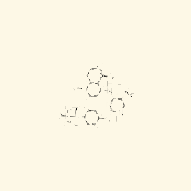 CCC(CC)(c1ccc(Nc2ncc(C(F)(F)F)c(Nc3ccc(Br)c4ccn(C)c(=O)c34)n2)cc1)P(=O)(O)O